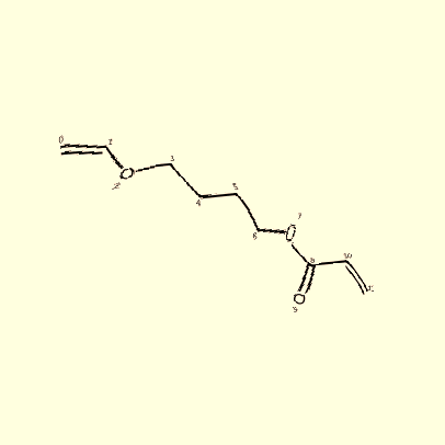 C=COCCCCOC(=O)C=C